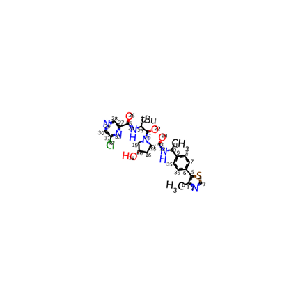 Cc1ncsc1-c1ccc(C(C)NC(=O)[C@@H]2C[C@@H](O)CN2C(=O)C(NC(=O)c2cncc(Cl)n2)C(C)(C)C)cc1